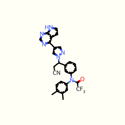 Cc1ccc(N(C(=O)C(F)(F)F)c2cccc(C(CC#N)n3cc(-c4ncnc5[nH]ccc45)cn3)c2)cc1C